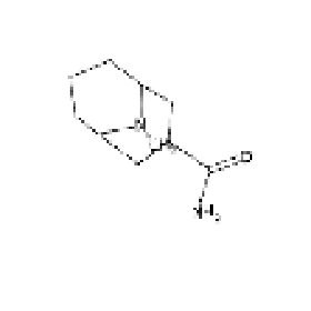 CN1C2CCCC1CC(C(N)=O)C2